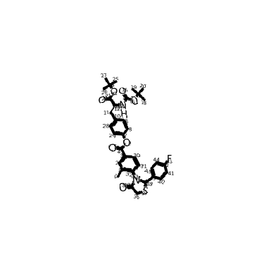 Cc1cc(C(=O)Oc2ccc(C[C@H](NC(=O)OC(C)(C)C)C(=O)OC(C)(C)C)cc2)ccc1N1C(=O)CSC1c1ccc(F)cc1